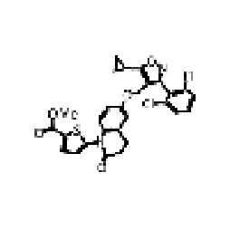 COC(=O)c1ccc(N2C(=O)CCc3cc(OCc4c(-c5c(Cl)cccc5Cl)noc4C4CC4)ccc32)s1